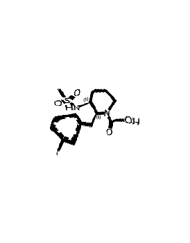 CS(=O)(=O)N[C@H]1CCCN(C(=O)O)[C@H]1Cc1cccc(I)c1